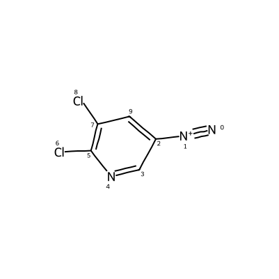 N#[N+]c1cnc(Cl)c(Cl)c1